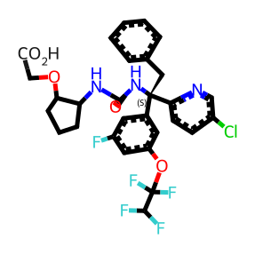 O=C(O)COC1CCCC1NC(=O)N[C@@](Cc1ccccc1)(c1cc(F)cc(OC(F)(F)C(F)F)c1)c1ccc(Cl)cn1